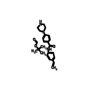 C=Cc1ccc(NC(=O)c2ccc(N3CCNCC3)cc2)cc1.CC(C)(C)OC=O